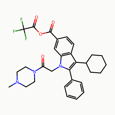 CN1CCN(C(=O)Cn2c(-c3ccccc3)c(C3CCCCC3)c3ccc(C(=O)OC(=O)C(F)(F)F)cc32)CC1